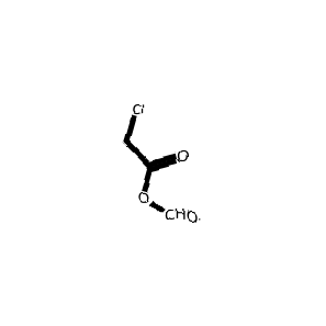 O=[C]OC(=O)CCl